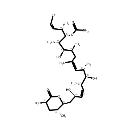 CC/C=C\[C@H](C)[C@H](OC(N)=O)[C@@H](C)[C@H](O)[C@@H](C)C/C(C)=C\[C@H](C)[C@@H](O)[C@@H](C)/C=C\[C@@H](O)C[C@@H]1OC(=O)[C@H](C)C[C@H]1C